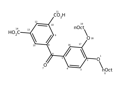 CCCCCCCCOc1ccc(C(=O)c2cc(C(=O)O)cc(C(=O)O)c2)cc1OCCCCCCCC